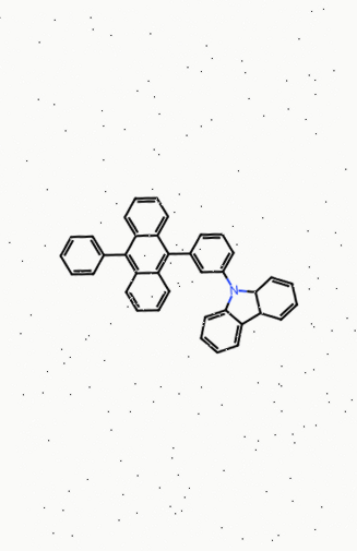 C1=CC2c3ccccc3N(c3cccc(-c4c5ccccc5c(-c5ccccc5)c5ccccc45)c3)C2C=C1